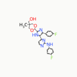 CC1(CO)COC(c2nc(-c3ccc(F)cc3)c(-c3ccnc(Nc4ccc(F)cc4)n3)[nH]2)OC1